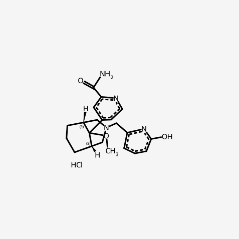 COC1(c2ccnc(C(N)=O)c2)[C@@H]2CCC[C@H]1CN(Cc1cccc(O)n1)C2.Cl